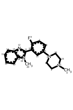 CN1CCN(c2ccc(F)c(-c3nc4ccccc4n3C)c2)CC1